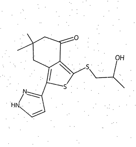 CC(O)CSc1sc(-c2cc[nH]n2)c2c1C(=O)CC(C)(C)C2